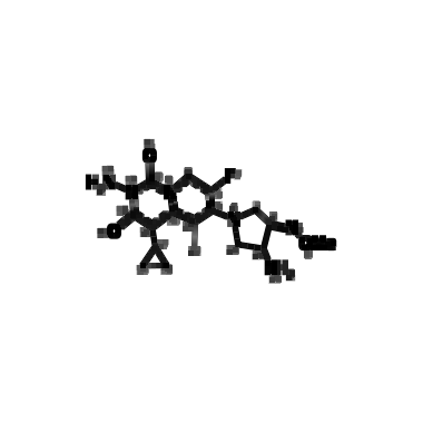 CON=C1CN(c2c(F)cn3c(=O)n(N)c(=O)c(C4CC4)c3c2C)CC1N